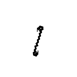 c1ccc(CCCCCCCCCCCCc2ccccn2)nc1